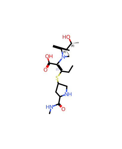 C=C1[C@H]([C@@H](C)O)CN1/C(C(=O)O)=C(\CC)SC1CNC(C(=O)NC)C1